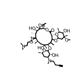 C#CCCN(C)[C@H]1C[C@@H](C)OC(O[C@@H]2C(C)C(OC3C[C@@](C)(OC)[C@@H](O)[C@H](C)O3)[C@@H](C)C(=O)O[C@H](CC)[C@@](C)(O)[C@H](O)[C@@H](C)/C(=N/OCCN(C)C)[C@H](C)C[C@@]2(C)O)[C@@H]1O